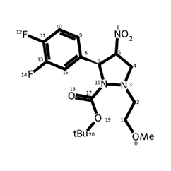 COCCN1CC([N+](=O)[O-])[C@H](c2ccc(F)c(F)c2)N1C(=O)OC(C)(C)C